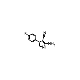 N#Cc1c(-c2ccc(F)cc2)c[nH]c1N